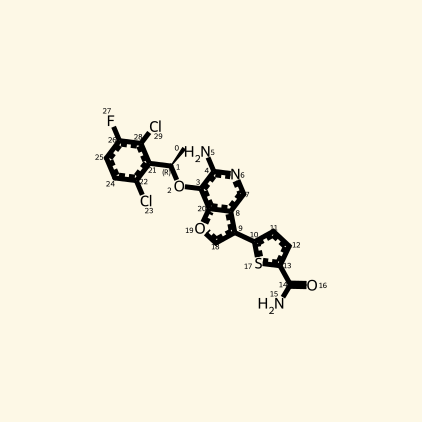 C[C@@H](Oc1c(N)ncc2c(-c3ccc(C(N)=O)s3)coc12)c1c(Cl)ccc(F)c1Cl